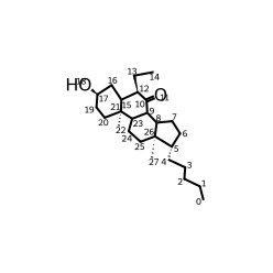 CCCCC[C@H]1CCC2C3C(=O)[C@H](CC)C4C[C@H](O)CC[C@]4(C)C3CC[C@@]21C